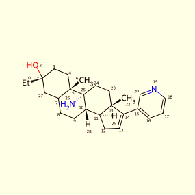 CC[C@@]1(O)CC[C@@]2(C)C(CC[C@H]3[C@@H]4CC=C(c5cccnc5)[C@@]4(C)CC[C@@]32N)C1